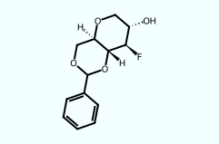 O[C@H]1CO[C@@H]2COC(c3ccccc3)O[C@H]2[C@@H]1F